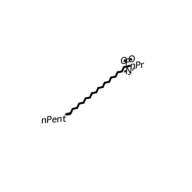 CCCCCC=CCCCCCCCCCCCCCCCCCC(CCC)(P(=O)=O)[N+](C)(C)C